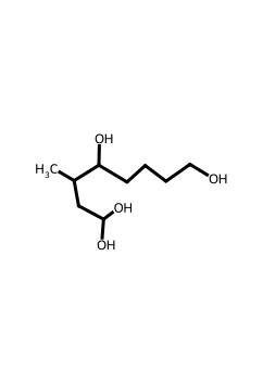 CC(CC(O)O)C(O)CCCCO